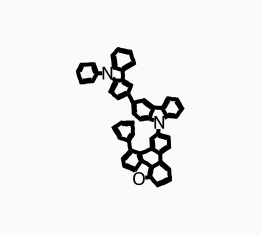 c1ccc(-c2ccc3oc4cccc5c6ccc(-n7c8ccccc8c8cc(-c9ccc%10c(c9)c9ccccc9n%10-c9ccccc9)ccc87)cc6c2c3c45)cc1